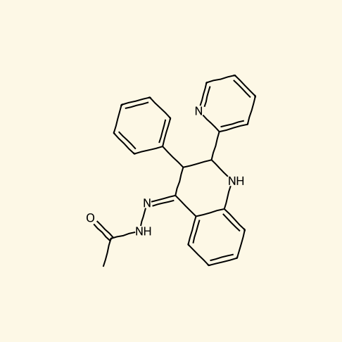 CC(=O)N/N=C1\c2ccccc2NC(c2ccccn2)C1c1ccccc1